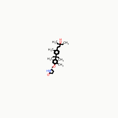 CCC(O)(C=Cc1ccc(C(CC)(CC)c2ccc(OC[C@@H]3CCC(=O)N3)c(C)c2)cc1C)CC